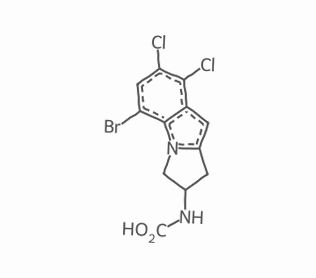 O=C(O)NC1Cc2cc3c(Cl)c(Cl)cc(Br)c3n2C1